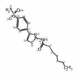 CCCCCCC(=O)Nc1nc(-c2ccc(S(N)(=O)=O)cc2)cs1